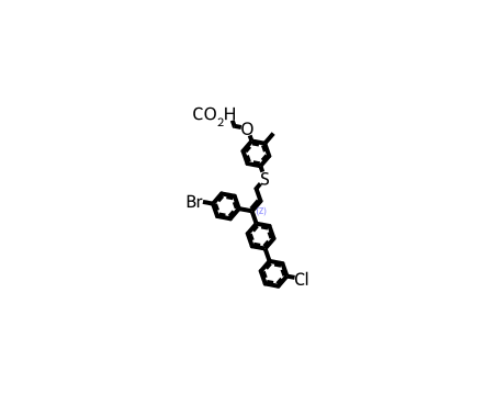 Cc1cc(SC/C=C(\c2ccc(Br)cc2)c2ccc(-c3cccc(Cl)c3)cc2)ccc1OCC(=O)O